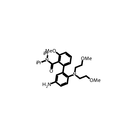 COCCN(CCOC)c1ccc(N)cc1-c1cccc(OC)c1C(=O)N(C(C)C)C(C)C